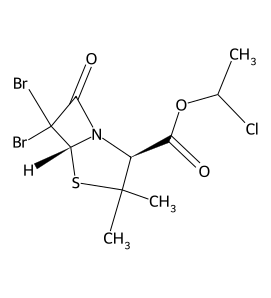 CC(Cl)OC(=O)[C@@H]1N2C(=O)C(Br)(Br)[C@H]2SC1(C)C